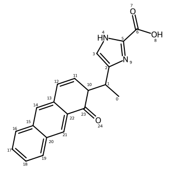 CC(c1c[nH]c(C(=O)O)n1)C1C=Cc2cc3ccccc3cc2C1=O